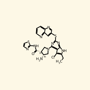 CCc1[nH]c2nc(Sc3cnc4cccnc4c3)nc(N3C[C@H](N)[C@H](C(=O)Nc4nccs4)C3)c2c1Cl